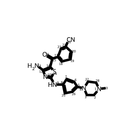 CN1CCN(c2ccc(Nc3nc(N)c(C(=O)c4cccc(C#N)c4)s3)cc2)CC1